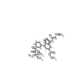 COC(=O)c1cc(-c2cccc(S(=O)(=O)NC(C)(C)C)c2)c2nnn(C/C(F)=C/CN)c2c1